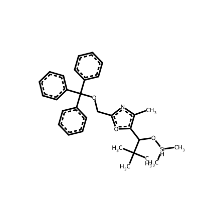 Cc1nc(COC(c2ccccc2)(c2ccccc2)c2ccccc2)oc1C(O[SiH](C)C)C(C)(C)C